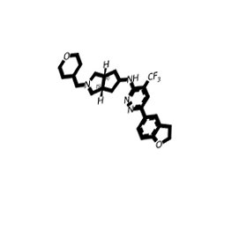 FC(F)(F)c1cc(-c2ccc3c(c2)CCO3)nnc1NC1C[C@@H]2CN(CC3CCOCC3)C[C@@H]2C1